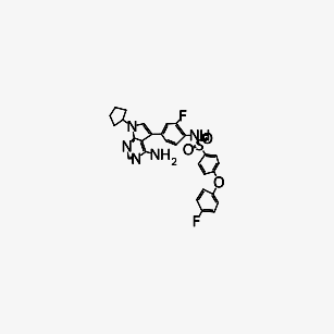 Nc1ncnc2c1c(-c1ccc(NS(=O)(=O)c3ccc(Oc4ccc(F)cc4)cc3)c(F)c1)cn2C1CCCC1